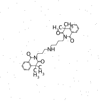 CC1(C)C(=O)N(CCCCNCCCN2C(=O)c3ccccc3C(C)(C)C2=O)C(=O)c2ccccc21